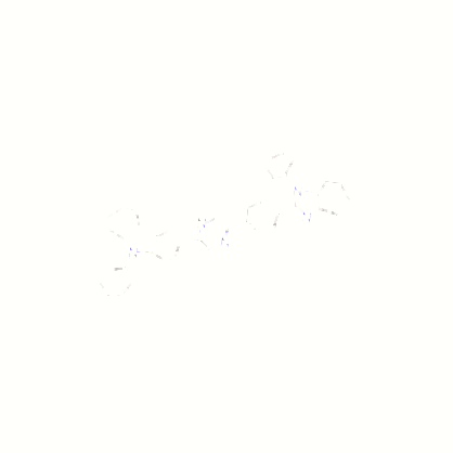 c1ccc(-n2c(-c3ccc(-c4cnc(-c5ccc6c(c5)c5ccccc5n6-c5ccccc5)cn4)cc3)nc3ccccc32)cc1